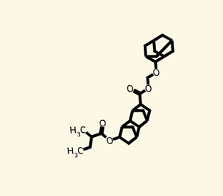 CCC(C)C(=O)OC1CC2CC1C1C3CC(CC3C(=O)OCOC3C4CC5CC(C4)CC3C5)C21